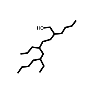 CCCCC(CO)CCC(CCC)CC(CC)CCCC